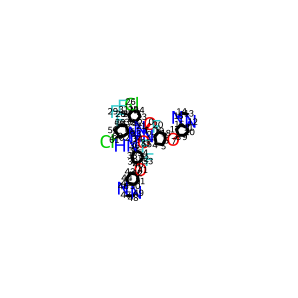 O=C(Nc1ccc(Oc2ccc3nccnc3c2)cc1F)N(c1ccc(Cl)c(C(F)(F)F)c1)N(C(=O)Nc1ccc(Oc2ccc3nccnc3c2)c(F)c1F)c1cccc(Cl)c1